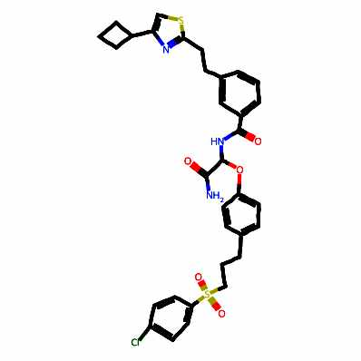 NC(=O)C(NC(=O)c1cccc(CCc2nc(C3CCC3)cs2)c1)Oc1ccc(CCCS(=O)(=O)c2ccc(Cl)cc2)cc1